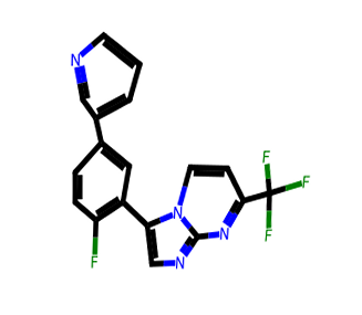 Fc1ccc(-c2cccnc2)cc1-c1cnc2nc(C(F)(F)F)ccn12